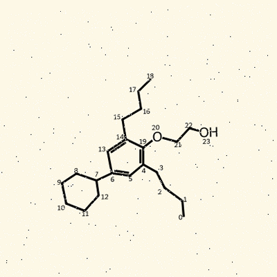 CCCCc1cc(C2CCCCC2)cc(CCCC)c1OCCO